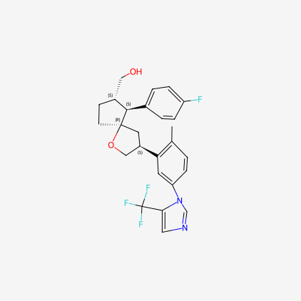 Cc1ccc(-n2cncc2C(F)(F)F)cc1[C@H]1CO[C@]2(CC[C@H](CO)[C@H]2c2ccc(F)cc2)C1